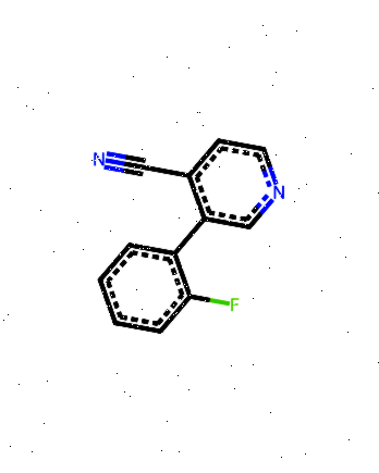 N#Cc1ccncc1-c1ccccc1F